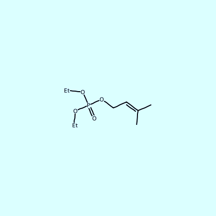 CCOP(=O)(OCC)OCC=C(C)C